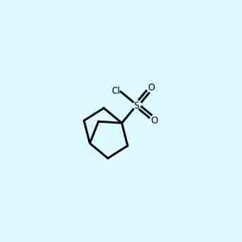 O=S(=O)(Cl)C12CCC(CC1)C2